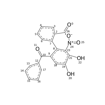 O=Cc1ccccc1-c1c(C(=O)c2ccccc2)cc(O)c(O)c1[N+](=O)[O-]